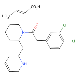 O=C(Cc1ccc(Cl)c(Cl)c1)N1CCCCC1CC1CC=CCN1.O=C(O)/C=C/C(=O)O